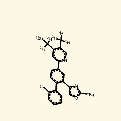 [2H]C([2H])([2H])c1cnc(-c2ccc(-c3ccccc3Cl)c(-c3coc(C(C)(C)C)n3)c2)cc1C([2H])([2H])C(C)(C)C